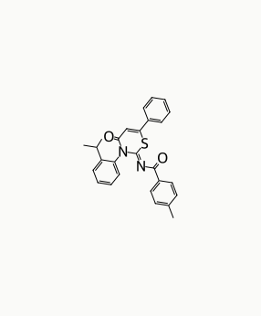 Cc1ccc(C(=O)N=c2sc(-c3ccccc3)cc(=O)n2-c2ccccc2C(C)C)cc1